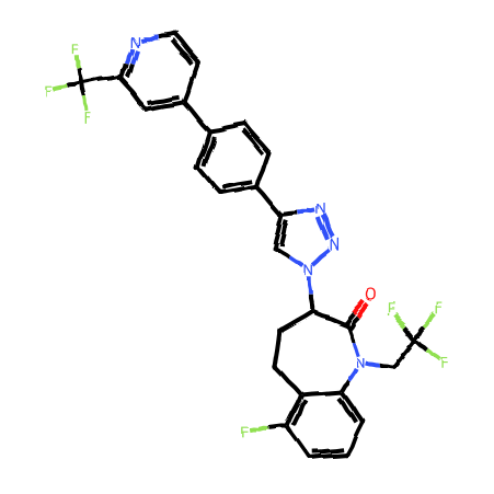 O=C1C(n2cc(-c3ccc(-c4ccnc(C(F)(F)F)c4)cc3)nn2)CCc2c(F)cccc2N1CC(F)(F)F